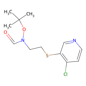 CC(C)(C)ON(C=O)CCSc1cnccc1Cl